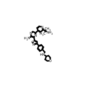 CC(C)(N)c1cc(-c2cnc(N)c(-c3cc(-c4ccc(CNC5CCOCC5)cc4)no3)n2)ccn1